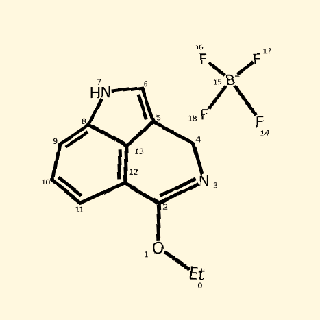 CCOC1=NCc2c[nH]c3cccc1c23.F[B-](F)(F)F